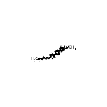 CCCCCCCCc1ccc(-c2ccc(-c3ccc(OCCC)cc3)cc2)cn1